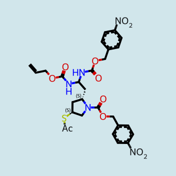 C=CCOC(=O)NC(C[C@H]1C[C@H](SC(C)=O)CN1C(=O)OCc1ccc([N+](=O)[O-])cc1)NC(=O)OCc1ccc([N+](=O)[O-])cc1